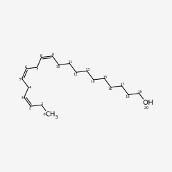 CC/C=C\C/C=C\C/C=C\CCCCCCCCCCO